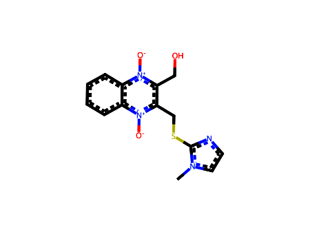 Cn1ccnc1SCc1c(CO)[n+]([O-])c2ccccc2[n+]1[O-]